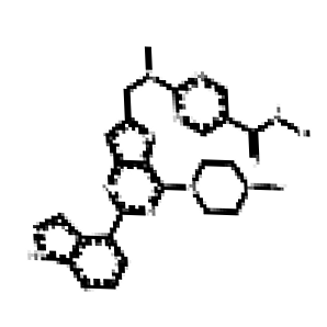 CC(=O)N1CCN(c2nc(-c3cccc4[nH]ncc34)nc3cc(CN(C)c4ncc(C(=O)NO)cn4)sc23)CC1